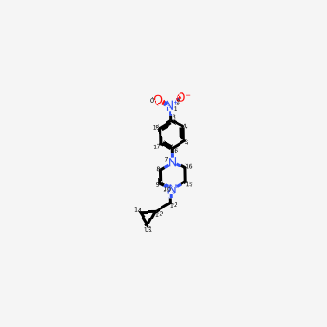 O=[N+]([O-])c1ccc(N2CCN(CC3CC3)CC2)cc1